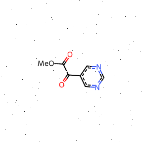 COC(=O)C(=O)c1cncnc1